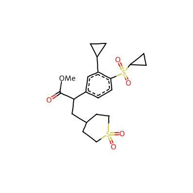 COC(=O)C(CC1CCS(=O)(=O)CC1)c1ccc(S(=O)(=O)C2CC2)c(C2CC2)c1